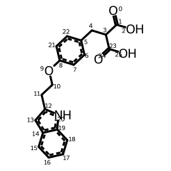 O=C(O)C(Cc1ccc(OCCc2cc3ccccc3[nH]2)cc1)C(=O)O